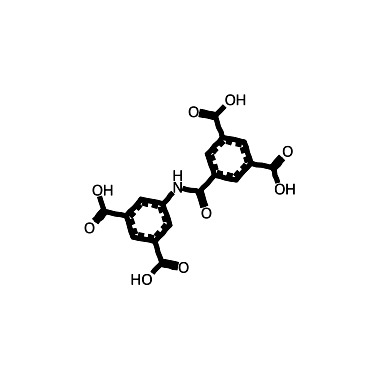 O=C(O)c1cc(NC(=O)c2cc(C(=O)O)cc(C(=O)O)c2)cc(C(=O)O)c1